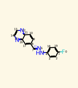 Fc1ccc(N/N=C/c2ccc3nccnc3c2)cc1